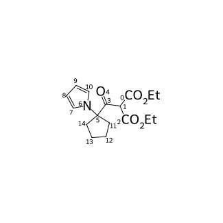 CCOC(=O)C(C(=O)OCC)C(=O)C1(n2cccc2)CCCC1